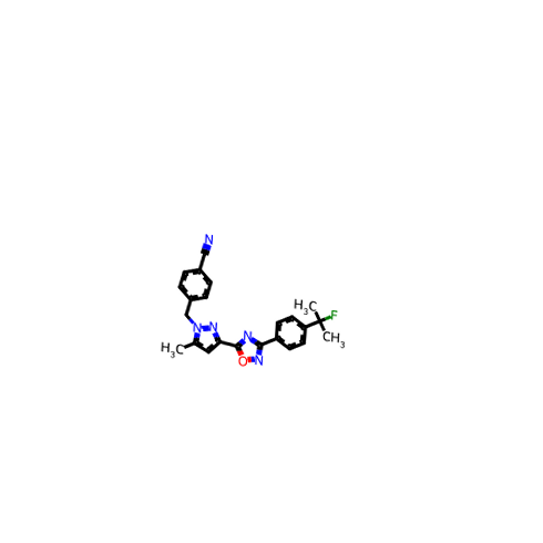 Cc1cc(-c2nc(-c3ccc(C(C)(C)F)cc3)no2)nn1Cc1ccc(C#N)cc1